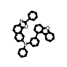 c1ccc(-c2nc3ccc4ccc(N(c5ccccc5)c5cccc(-c6cccc7oc8ccccc8c67)c5)cc4c3o2)cc1